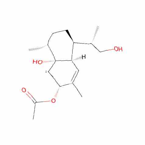 CC(=O)O[C@@H]1[C][C@@]2(O)[C@H](C)CC[C@@H]([C@H](C)CO)[C@H]2C=C1C